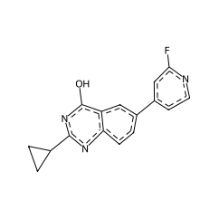 Oc1nc(C2CC2)nc2ccc(-c3ccnc(F)c3)cc12